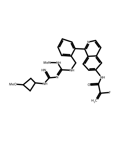 C=C(F)C(=O)Nc1ccc2c(-c3ccccc3CN/C(=N/C(=N)NC3CC(OC)C3)NNC)nccc2c1